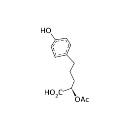 CC(=O)O[C@H](CCCc1ccc(O)cc1)C(=O)O